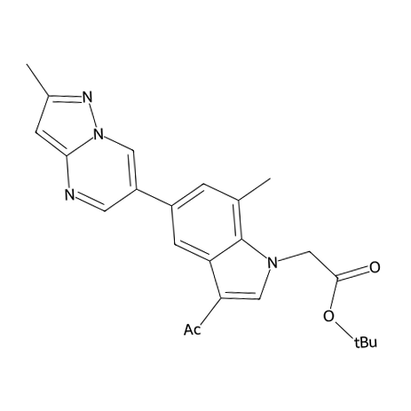 CC(=O)c1cn(CC(=O)OC(C)(C)C)c2c(C)cc(-c3cnc4cc(C)nn4c3)cc12